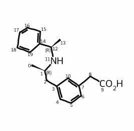 C[C@H](Cc1cccc(CC(=O)O)c1)N[C@H](C)c1ccccc1